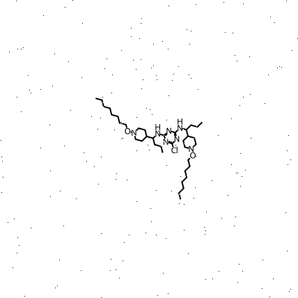 CCCCCCCCON1CCC(C(CCC)Nc2nc(Cl)nc(NC(CCC)C3CCN(OCCCCCCCC)CC3)n2)CC1